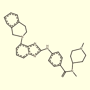 C=C(c1ccc(Nc2nc3c(N4CCc5ccccc5C4)cccn3n2)cc1)N(C)C1CCN(C)CC1